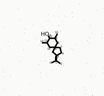 CC(C)=C1CCC2(C1)CC(C)C(O)C(C)C2